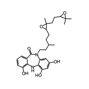 CC(CCC1OC1(C)CCC1OC1(C)C)CCN1C(=O)c2cccc(O)c2Nc2c(O)cc(O)cc21